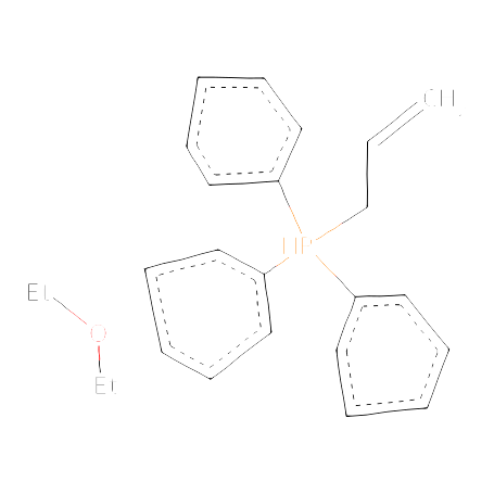 C=CC[PH](c1ccccc1)(c1ccccc1)c1ccccc1.CCOCC